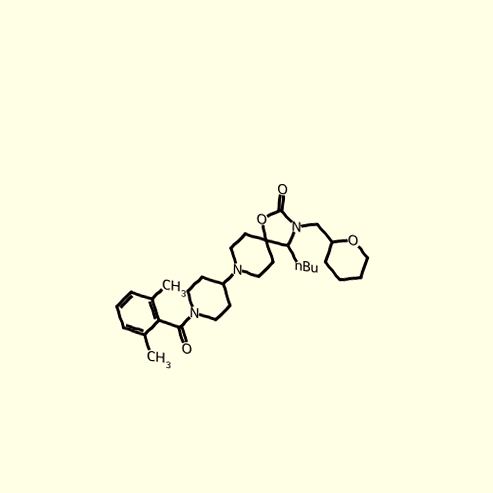 CCCCC1N(CC2CCCCO2)C(=O)OC12CCN(C1CCN(C(=O)c3c(C)cccc3C)CC1)CC2